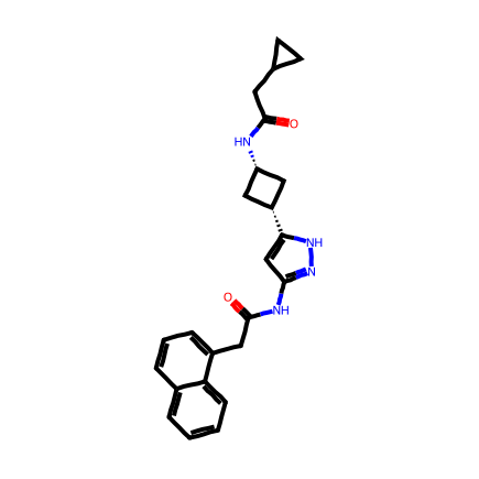 O=C(Cc1cccc2ccccc12)Nc1cc([C@H]2C[C@@H](NC(=O)CC3CC3)C2)[nH]n1